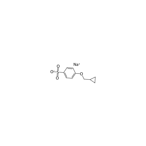 O=S(=O)([O-])c1ccc(OCC2CC2)cc1.[Na+]